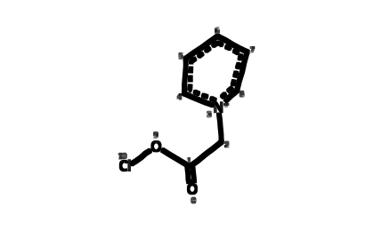 O=C(C[n+]1ccccc1)OCl